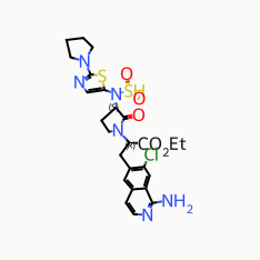 CCOC(=O)[C@@H](Cc1cc2ccnc(N)c2cc1Cl)N1CC[C@H](N(c2cnc(N3CCCC3)s2)[SH](=O)=O)C1=O